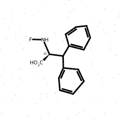 O=C(O)[C@@H](NF)C(c1ccccc1)c1ccccc1